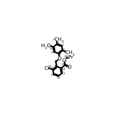 Cc1cc(C)c(OCc2c(Cl)cccc2C(=O)OC(C)C)cc1C